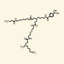 CCCC(=O)NCCSSCCNC(=O)CCN(CCCCNC(=O)c1ccc(B(O)O)cc1)CCC(=O)NCCSSCCNC(=O)CCN(C)CCCCN